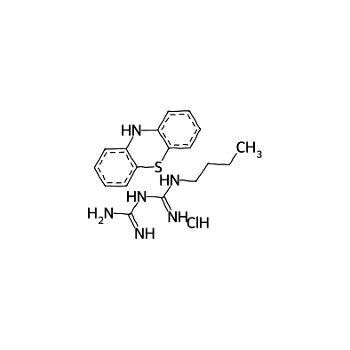 CCCCNC(=N)NC(=N)N.Cl.c1ccc2c(c1)Nc1ccccc1S2